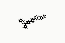 CS(=O)(=O)c1ccc(CC(CC(=O)c2ccc(-c3ccc(-c4c(Cc5ccccc5)oc5ccccc45)cc3)cc2)C(=O)O)cc1